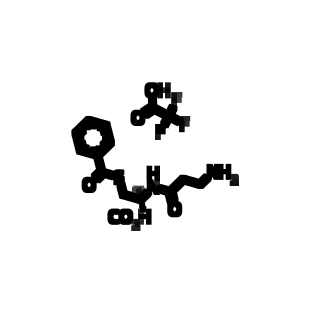 NCCC(=O)N[C@@H](CSC(=O)c1ccccc1)C(=O)O.O=C(O)C(F)(F)F